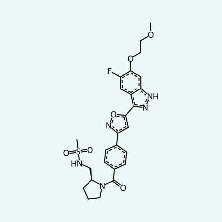 COCCOc1cc2[nH]nc(-c3cc(-c4ccc(C(=O)N5CCC[C@H]5CNS(C)(=O)=O)cc4)no3)c2cc1F